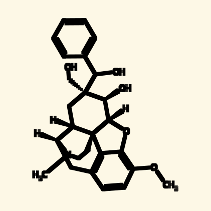 COc1ccc2c3c1O[C@H]1[C@H](O)[C@](CO)(C(O)c4ccccc4)C[C@H]4[C@@H](C2)N(C)CC[C@@]341